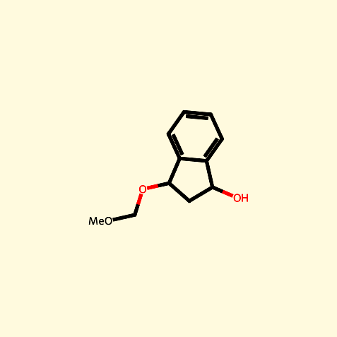 COCOC1CC(O)c2ccccc21